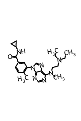 CCN(CC)CCN(C)c1ncnc2c1ncn2-c1cc(C(=O)NC2CC2)ccc1C